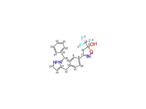 OC1(C(F)(F)F)CC(c2ccc(Cc3ccnn3Cc3ccccc3)cc2)=NO1